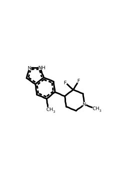 Cc1cc2cn[nH]c2cc1C1CCN(C)CC1(F)F